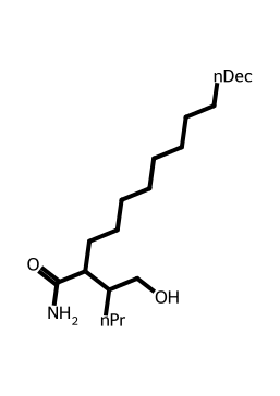 CCCCCCCCCCCCCCCCCCC(C(N)=O)C(CO)CCC